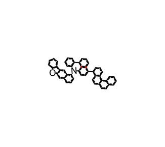 c1ccc(-c2ccccc2N(c2ccc(-c3cccc4c3ccc3ccc5ccccc5c34)cc2)c2cccc3cc4oc5ccccc5c4cc23)cc1